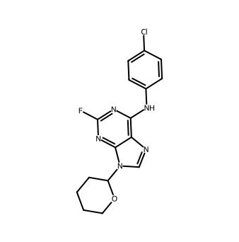 Fc1nc(Nc2ccc(Cl)cc2)c2ncn(C3CCCCO3)c2n1